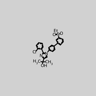 CCS(=O)(=O)c1cccc(-c2ccc(-n3cc(C(C)(C)O)nc3-c3ccccc3Cl)cc2)c1